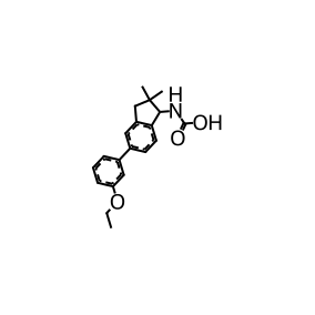 CCOc1cccc(-c2ccc3c(c2)CC(C)(C)C3NC(=O)O)c1